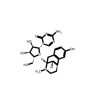 CN1CC[C@]23CCCC[C@H]2[C@H]1Cc1ccc(O)cc13.Nc1ncn([C@@H]2O[C@H](CO)[C@@H](O)[C@H]2O)c(=O)n1